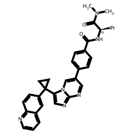 CC(C)[C@@H](NC(=O)c1ccc(-c2cnc3ncc(C4(c5ccc6ncccc6c5)CC4)n3c2)cc1)C(=O)N(C)C